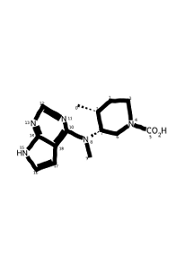 C[C@@H]1CCN(C(=O)O)C[C@@H]1N(C)c1ncnc2[nH]ccc12